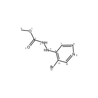 COC(=O)NNc1ccncc1Br